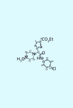 CCOC(=O)c1ccc(C(C(=O)Nc2ccc(Cl)cc2)N2CCN(C)CC2)s1